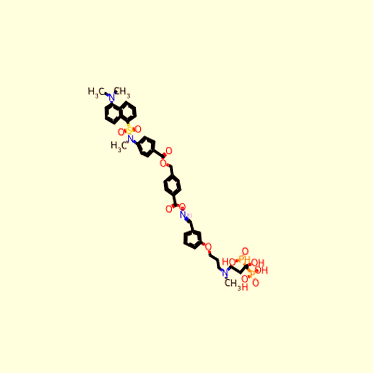 CN(CCCOc1cccc(/C=N/OC(=O)c2ccc(COC(=O)c3ccc(N(C)S(=O)(=O)c4cccc5c(N(C)C)cccc45)cc3)cc2)c1)CCC(O)([PH](=O)O)P(=O)(O)O